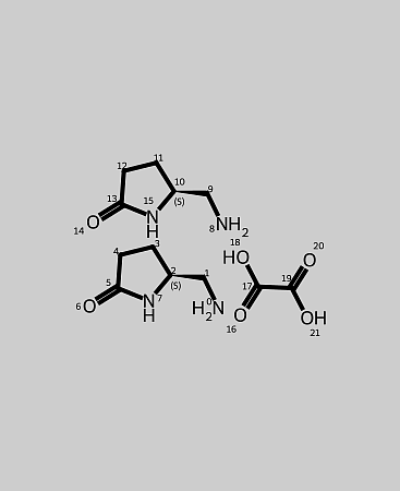 NC[C@@H]1CCC(=O)N1.NC[C@@H]1CCC(=O)N1.O=C(O)C(=O)O